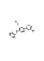 O=C(O)c1cc(-c2cc(OCC(F)(F)F)c(C(=O)Nc3c(F)cccc3Cl)cc2F)ncc1Cl